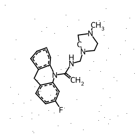 C=C(NCN1CCN(C)CC1)N1c2ccccc2Cc2ccc(F)cc21